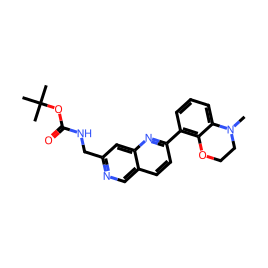 CN1CCOc2c(-c3ccc4cnc(CNC(=O)OC(C)(C)C)cc4n3)cccc21